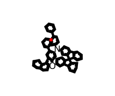 c1ccc(-c2ccc(N(c3ccc4c(c3)C3(c5ccccc5-c5ccccc53)c3ccccc3-4)c3cc4oc5ccc6ccccc6c5c4cc3-c3ccccc3)cc2)cc1